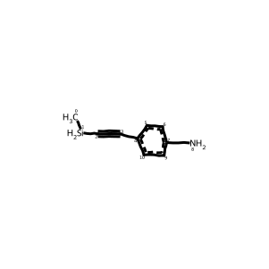 C[SiH2]C#Cc1ccc(N)cc1